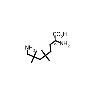 CC(C)(CN)CC(C)(C)CC[C@H](N)C(=O)O